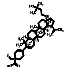 C=C(C)[C@@H]1CC[C@]2(NCCC(C)(C)O)CC[C@]3(C)[C@H](CC[C@@H]4[C@@]5(C)CC=C(C6=CCC(CF)(C(=O)O)CC6)C(C)(C)[C@@H]5CC[C@]43C)[C@@H]12